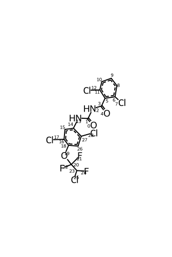 O=C(NC(=O)c1c(Cl)cccc1Cl)Nc1cc(Cl)c(OC(F)(F)C(F)Cl)cc1Cl